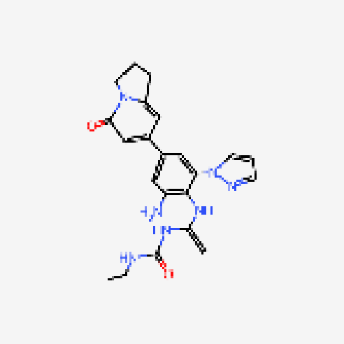 C=C(NC(=O)NCC)Nc1c(N)cc(-c2cc3n(c(=O)c2)CCC3)cc1-n1cccn1